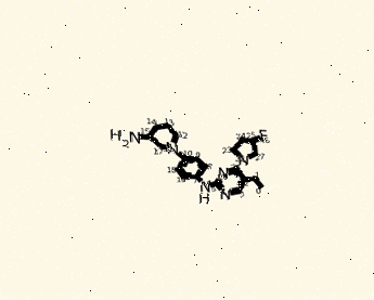 CCc1cnc(Nc2ccc(N3CCCC(N)C3)cc2)nc1N1CCC(F)C1